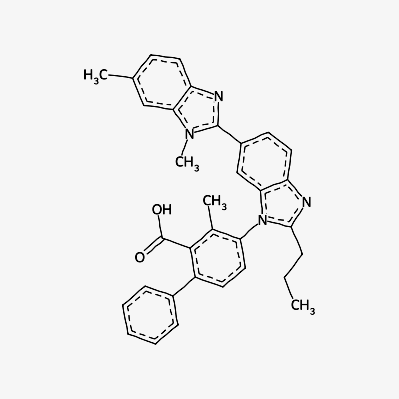 CCCc1nc2ccc(-c3nc4ccc(C)cc4n3C)cc2n1-c1ccc(-c2ccccc2)c(C(=O)O)c1C